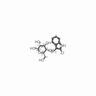 Clc1[nH]c2ccccc2c1Br.OC[C@H]1O[C@@H](O)[C@H](O)[C@@H](O)[C@H]1O